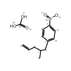 C=CCC(C)Cc1ccc([N+](=O)[O-])cc1.O=C(O)O